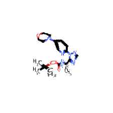 C[C@H](NC(=O)OC(C)(C)C)c1ncnn1-c1ccc(N2CCOCC2)cn1